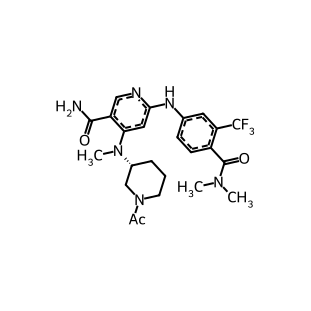 CC(=O)N1CCC[C@@H](N(C)c2cc(Nc3ccc(C(=O)N(C)C)c(C(F)(F)F)c3)ncc2C(N)=O)C1